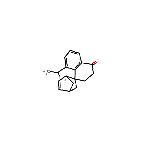 CC(C)c1cccc2c1C1(CCC2=O)CC2C=CC1C2